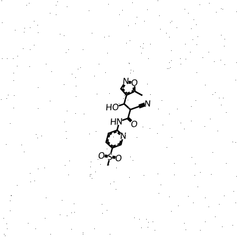 Cc1oncc1C(O)C(C#N)C(=O)Nc1ccc(S(C)(=O)=O)cn1